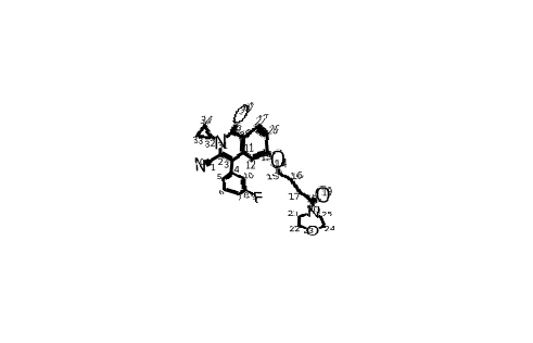 N#Cc1c(-c2cccc(F)c2)c2cc(OCCCC(=O)N3CCOCC3)ccc2c(=O)n1C1CC1